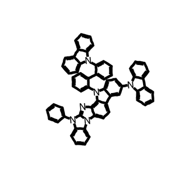 c1ccc(-n2c3ccccc3n3c4ccc5c6cc(-n7c8ccccc8c8ccccc87)ccc6n(-c6ccccc6-c6ccccc6-n6c7ccccc7c7ccccc76)c5c4nc23)cc1